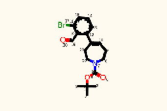 CC(C)(C)OC(=O)N1CCC=C(c2cccc(Br)c2C=O)CC1